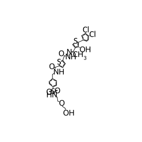 C/C(=N\NC(=O)c1ccc(C(=O)NCc2ccc(S(=O)(=O)NCCOCCO)cc2)s1)c1csc(-c2ccc(Cl)c(Cl)c2)c1O